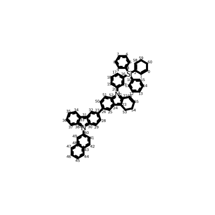 C1=CC([Si](c2ccccc2)(c2ccccc2)c2cccc(-n3c4c(c5cc(-c6ccc7c(c6)c6ccccc6n7-c6ccc7ccccc7c6)ccc53)CCC=C4)c2)=CCC1